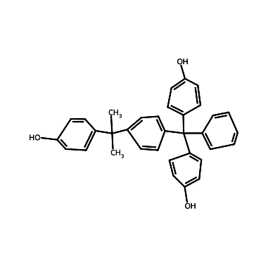 CC(C)(c1ccc(O)cc1)c1ccc(C(c2ccccc2)(c2ccc(O)cc2)c2ccc(O)cc2)cc1